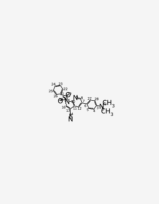 CN(C)c1ccc(-c2cnc3c(c2)c(C#N)cn3S(=O)(=O)c2ccccc2)cc1